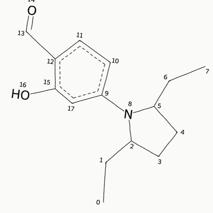 CCC1CCC(CC)N1c1ccc(C=O)c(O)c1